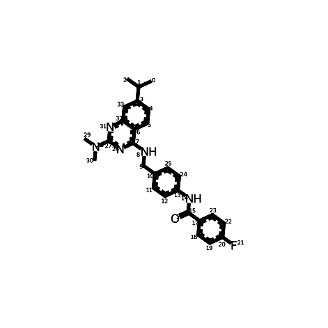 CC(C)c1ccc2c(NCc3ccc(NC(=O)c4ccc(F)cc4)cc3)nc(N(C)C)nc2c1